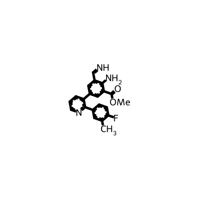 COC(=O)c1cc(-c2cccnc2-c2ccc(F)c(C)c2)cc(C=N)c1N